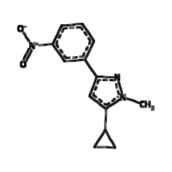 Cn1nc(-c2cccc([N+](=O)[O-])c2)cc1C1CC1